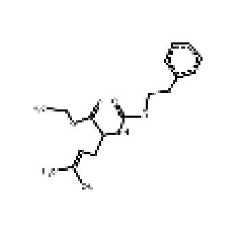 CCOC(=O)C(CC=C(C)C)NC(=O)OCCc1ccccc1